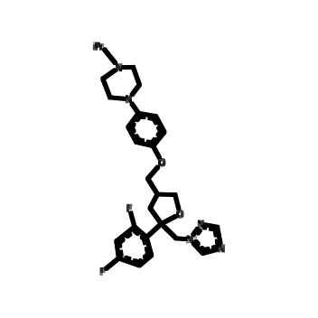 CC(C)N1CCN(c2ccc(OCC3COC(Cn4cncn4)(c4ccc(F)cc4F)C3)cc2)CC1